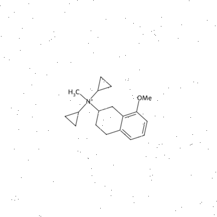 COc1cccc2c1CC([N+](C)(C1CC1)C1CC1)CC2